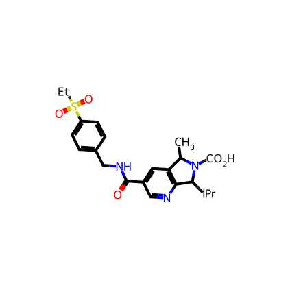 CCS(=O)(=O)c1ccc(CNC(=O)c2cnc3c(c2)C(C)N(C(=O)O)C3C(C)C)cc1